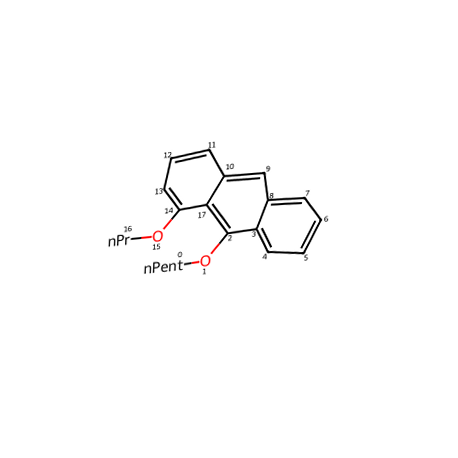 CCCCCOc1c2ccccc2cc2cccc(OCCC)c12